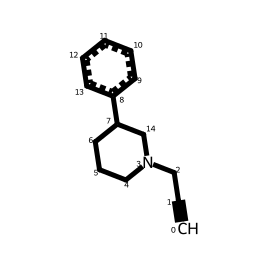 C#CCN1CCCC(c2ccccc2)C1